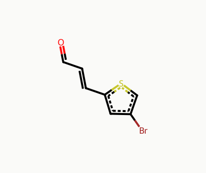 O=CC=Cc1cc(Br)cs1